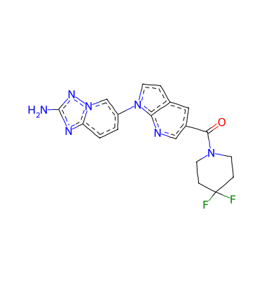 Nc1nc2ccc(-n3ccc4cc(C(=O)N5CCC(F)(F)CC5)cnc43)cn2n1